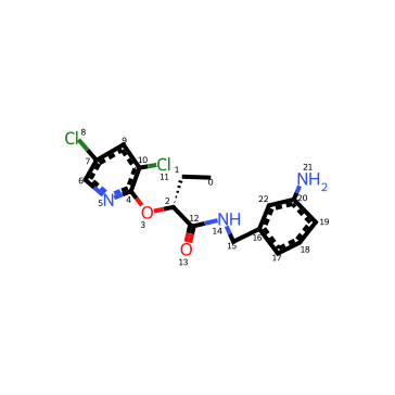 CC[C@@H](Oc1ncc(Cl)cc1Cl)C(=O)NCc1cccc(N)c1